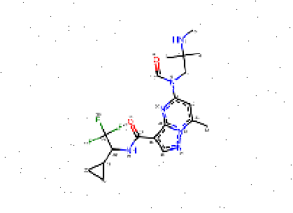 CNC(C)(C)CN(C=O)c1cc(C)n2ncc(C(=O)NC(C3CC3)C(F)(F)F)c2n1